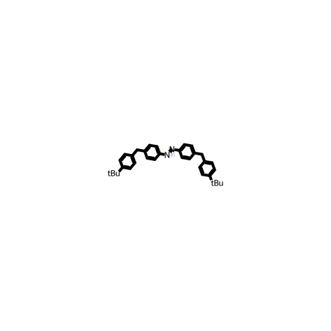 CC(C)(C)c1ccc(Cc2ccc(/N=N/c3ccc(Cc4ccc(C(C)(C)C)cc4)cc3)cc2)cc1